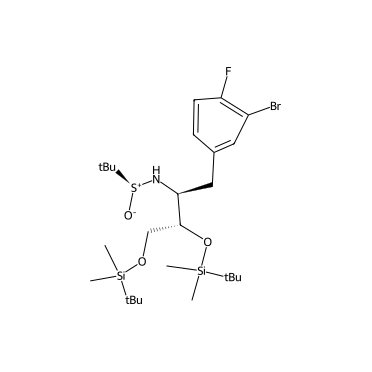 CC(C)(C)[S@+]([O-])N[C@@H](Cc1ccc(F)c(Br)c1)[C@@H](CO[Si](C)(C)C(C)(C)C)O[Si](C)(C)C(C)(C)C